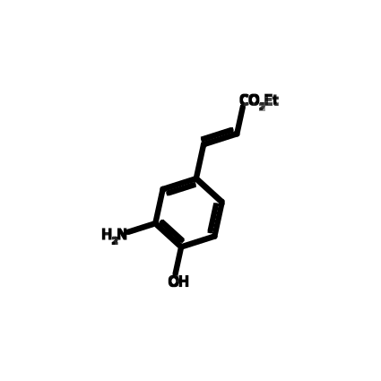 CCOC(=O)C=Cc1ccc(O)c(N)c1